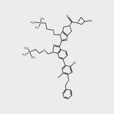 CCc1cc(OCc2ccccc2)c(F)cc1-c1ccc2c(-c3nc4c(n3COCC[Si](C)(C)C)CN(C(=O)N3CC(C#N)C3)C4)nn(COCC[Si](C)(C)C)c2c1